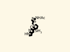 CC(=O)Nc1ncc(CN2CCC[C@]([SiH3])(c3cc4cc[nH]c4nc3C)C2)s1